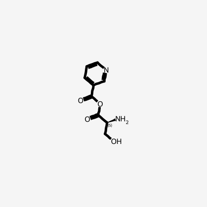 N[C@@H](CO)C(=O)OC(=O)c1cccnc1